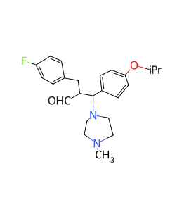 CC(C)Oc1ccc(C(C(C=O)Cc2ccc(F)cc2)N2CCN(C)CC2)cc1